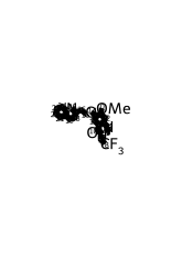 COc1cc2ncn(CC(F)(F)F)c(=O)c2cc1OCCc1ccc2ccccc2n1